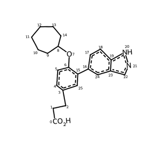 O=C(O)CCc1ccc(OC2CCCCCC2)c(-c2ccc3[nH]ncc3c2)c1